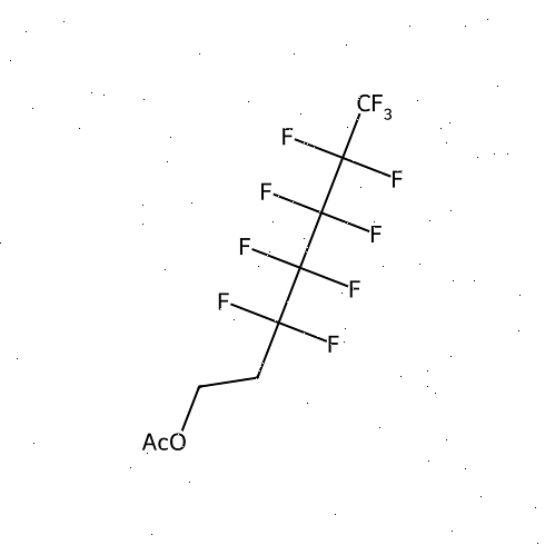 CC(=O)OCCC(F)(F)C(F)(F)C(F)(F)C(F)(F)C(F)(F)F